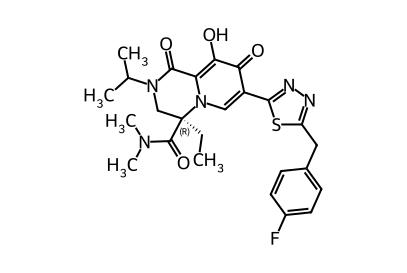 CC[C@]1(C(=O)N(C)C)CN(C(C)C)C(=O)c2c(O)c(=O)c(-c3nnc(Cc4ccc(F)cc4)s3)cn21